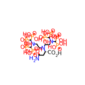 NC(=O)C[C@@H](C(=O)O)N(CCN(C(P(=O)(O)O)P(=O)(O)O)C(P(=O)(O)O)P(=O)(O)O)CCN(C(P(=O)(O)O)P(=O)(O)O)C(P(=O)(O)O)P(=O)(O)O